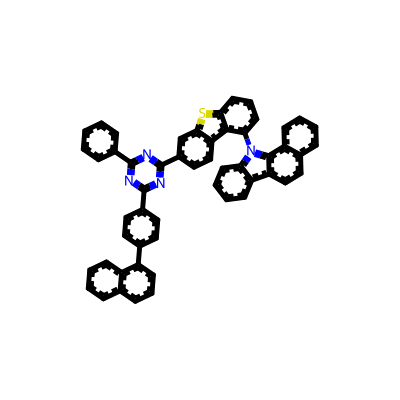 c1ccc(-c2nc(-c3ccc(-c4cccc5ccccc45)cc3)nc(-c3ccc4c(c3)sc3cccc(-n5c6ccccc6c6ccc7ccccc7c65)c34)n2)cc1